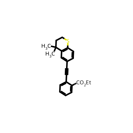 CCOC(=O)c1ccccc1C#Cc1ccc2c(c1)C(C)(C)CCS2